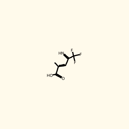 C/C(=C\C(=N)C(F)(F)F)C(=O)O